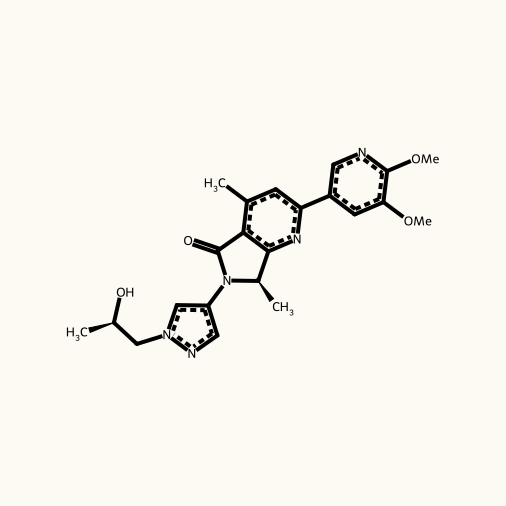 COc1cc(-c2cc(C)c3c(n2)[C@@H](C)N(c2cnn(C[C@@H](C)O)c2)C3=O)cnc1OC